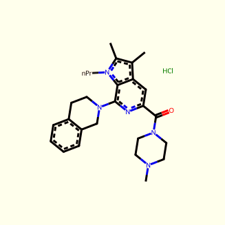 CCCn1c(C)c(C)c2cc(C(=O)N3CCN(C)CC3)nc(N3CCc4ccccc4C3)c21.Cl